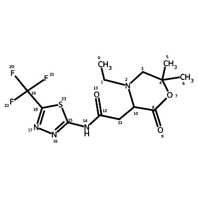 CCN1CC(C)(C)OC(=O)C1CC(=O)Nc1nnc(C(F)(F)F)s1